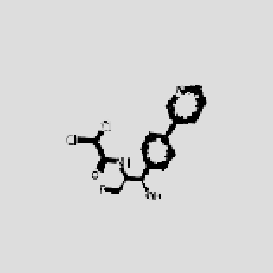 O=C(N[C@H](CF)[C@H](O)c1ccc(-c2cccnc2)cc1)C(Cl)Cl